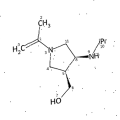 C=C(C)N1C[C@H](CO)[C@H](NC(C)C)C1